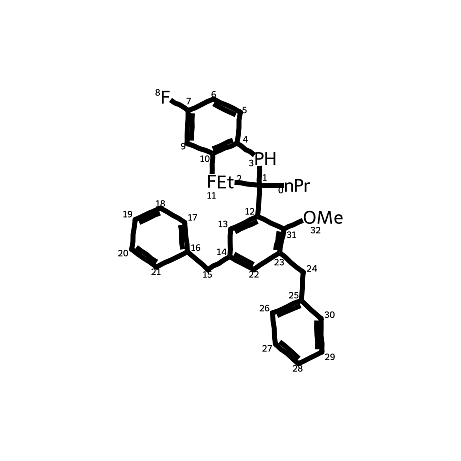 CCCC(CC)(Pc1ccc(F)cc1F)c1cc(Cc2ccccc2)cc(Cc2ccccc2)c1OC